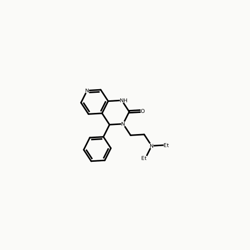 CCN(CC)CCN1C(=O)Nc2cnccc2C1c1ccccc1